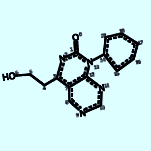 O=c1nc(CCO)c2cncnc2n1-c1ccccc1